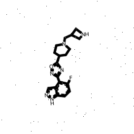 Fc1ccc2[nH]ncc2c1-c1noc(C2CCN(CC3CNC3)CC2)n1